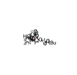 CC(C)(C)OC(=O)CCOc1ccc2c3c1O[C@@H]1C(=O)CC[C@]4(O)[C@H](C2)N(CC2CC2)CC[C@@]314